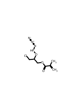 C=C(C)C(=O)OCC(CCl)OPN=[N+]=[N-]